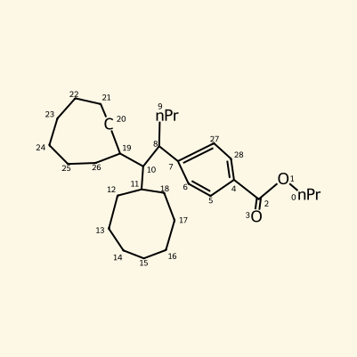 CCCOC(=O)c1ccc(C(CCC)C(C2CCCCCCC2)C2CCCCCCC2)cc1